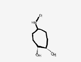 CCNC1CC[C@@H](O)[C@@H](O)CC1